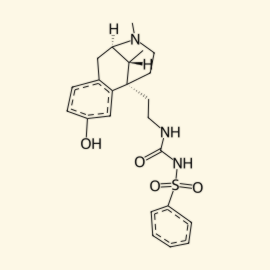 C[C@H]1[C@H]2Cc3ccc(O)cc3[C@]1(CCNC(=O)NS(=O)(=O)c1ccccc1)CCN2C